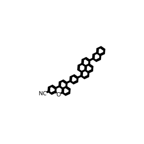 N#Cc1ccc2c(c1)Oc1cccc3c(-c4ccc(-c5ccc6ccc7c(-c8ccc9ccccc9c8)ccc8ccc5c6c87)cc4)ccc-2c13